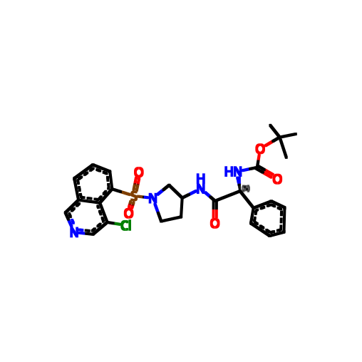 CC(C)(C)OC(=O)N[C@H](C(=O)NC1CCN(S(=O)(=O)c2cccc3cncc(Cl)c23)C1)c1ccccc1